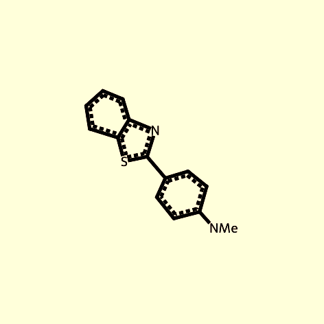 [11CH3]Nc1ccc(-c2nc3ccccc3s2)cc1